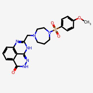 COc1ccc(S(=O)(=O)N2CCCN(CC3=Nc4cccc5c(=O)[nH]nc(c45)N3)CC2)cc1